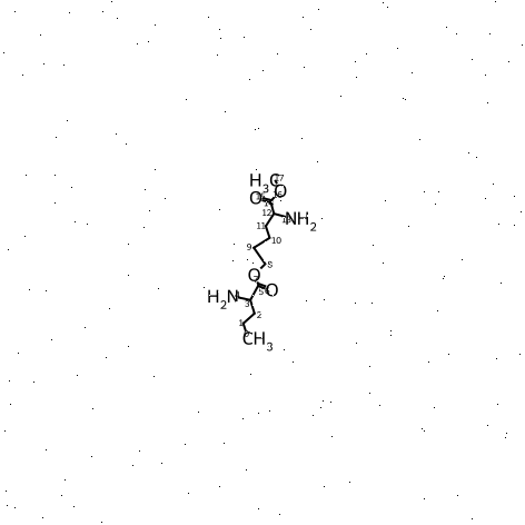 CCCC(N)C(=O)OCCCCC(N)C(=O)OC